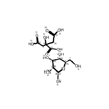 N[C@@H]1[C@@H](O)[C@H](O)[C@@H](CO)O[C@H]1O.O=C(O)CC(O)(CC(=O)O)C(=O)O